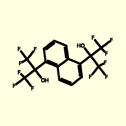 OC(c1cccc2c(C(O)(C(F)(F)F)C(F)(F)F)cccc12)(C(F)(F)F)C(F)(F)F